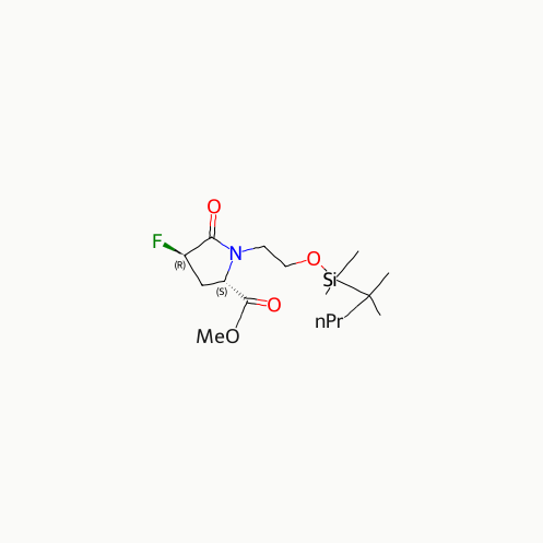 CCCC(C)(C)[Si](C)(C)OCCN1C(=O)[C@H](F)C[C@H]1C(=O)OC